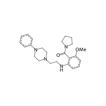 COc1cccc(NCCN2CCN(c3ccccc3)CC2)c1C(=O)N1CCCC1